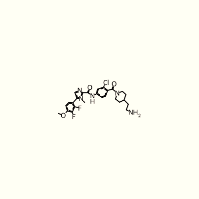 COc1ccc(-c2cnc(C(=O)Nc3ccc(C(=O)N4CCC(CCN)CC4)c(Cl)c3)n2C)c(F)c1F